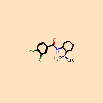 CN(C)C1CCCCC1NC(=O)c1ccc(Cl)c(Cl)c1